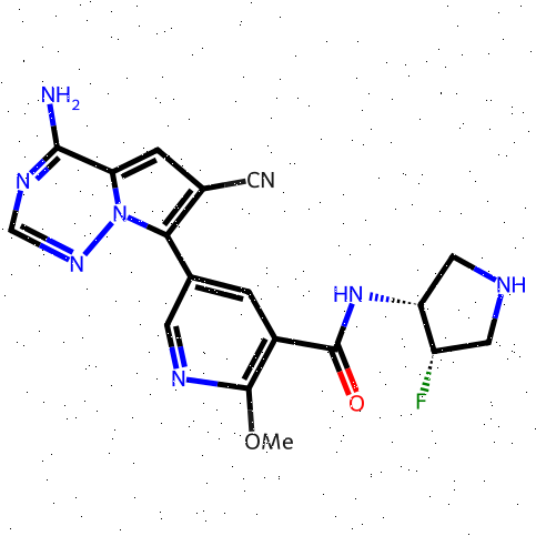 COc1ncc(-c2c(C#N)cc3c(N)ncnn23)cc1C(=O)N[C@@H]1CNC[C@@H]1F